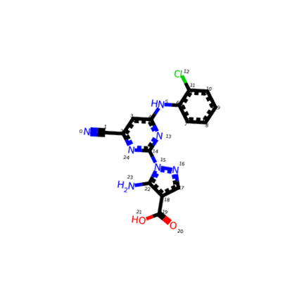 N#Cc1cc(Nc2ccccc2Cl)nc(-n2ncc(C(=O)O)c2N)n1